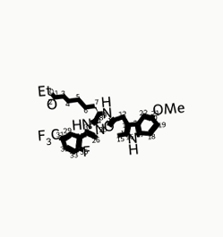 CCC(=O)CCCCC[C@H](NC(=O)Cc1c(C)[nH]c2ccc(OC)cc12)c1ncc(-c2cc(C(F)(F)F)ccc2F)[nH]1